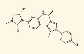 Cc1nc([C@H](C)Nc2nccc(N3C(=O)N(C)C[C@@H]3C(C)C)n2)cn1-c1ccc(Cl)cc1